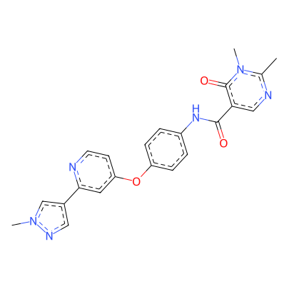 Cc1ncc(C(=O)Nc2ccc(Oc3ccnc(-c4cnn(C)c4)c3)cc2)c(=O)n1C